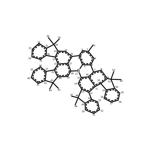 Cc1cc2c3c(c1)-c1cc4c(c5c6c(cc(c15)B3c1cc3c(c5c7c(cc-2c15)C(C)(C)c1ccccc1-7)-c1ccccc1C3(C)C)C(C)(C)c1ccccc1-6)-c1ccccc1C4(C)C